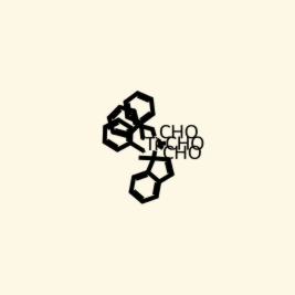 C[C]1([Ti]([CH]=O)([CH]=O)([CH]=O)([CH2]c2ccccc2)([CH2]c2ccccc2)[CH2]c2ccccc2)C=Cc2ccccc21